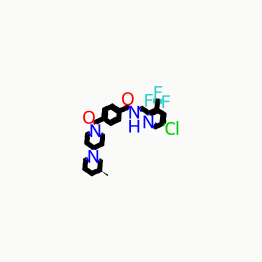 C[C@@H]1CCCN(C2CCN(C(=O)c3ccc(C(=O)NCc4ncc(Cl)cc4C(F)(F)F)cc3)CC2)C1